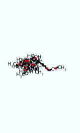 CCCCCC/C=C\CCCCCCCC(=O)N[C@@H]1C(O[C@@H]2C(CO)O[C@@H](O[C@@H]3C(CO)O[C@@H](O[C@@H]4C(COS(=O)(=O)O)O[C@@H](O)C(NC(C)=O)[C@H]4O)C(NC(C)=O)[C@H]3O)C(NC(C)=O)[C@H]2O)OC(CO)[C@@H](O)[C@@H]1O